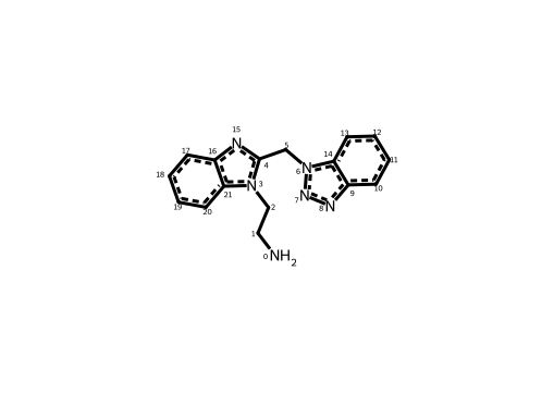 NCCn1c(Cn2nnc3ccccc32)nc2ccccc21